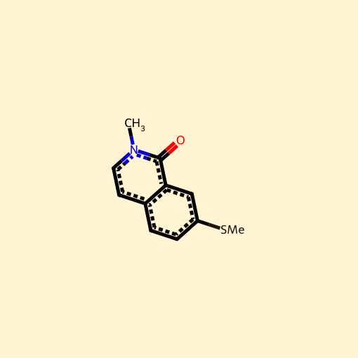 CSc1ccc2ccn(C)c(=O)c2c1